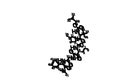 CCC[C@H](NC(=O)[C@@H]1C[C@@H](C)CN1C(=O)[C@@H](NC(=O)OCC(C)C)C(C)(C)C)C(=O)C(=O)NCC(=O)NC(C(=O)N(C)C)c1ccccc1